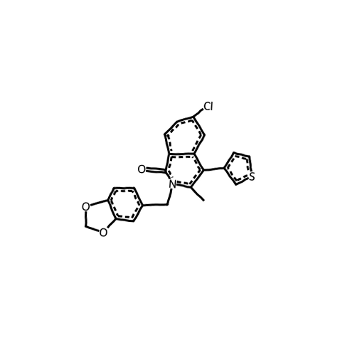 Cc1c(-c2ccsc2)c2cc(Cl)ccc2c(=O)n1Cc1ccc2c(c1)OCO2